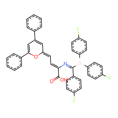 O=C(O)C(=CC=C1C=C(c2ccccc2)C=C(c2ccccc2)O1)N=C(B(c1ccc(F)cc1)c1ccc(F)cc1)c1ccc(F)cc1